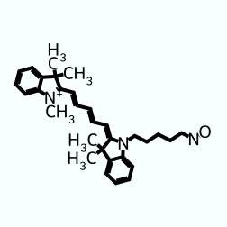 C[N+]1=C(/C=C/C=C/C=C2/N(CCCCCN=O)c3ccccc3C2(C)C)C(C)(C)c2ccccc21